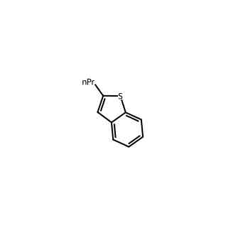 [CH2]CCc1cc2ccccc2s1